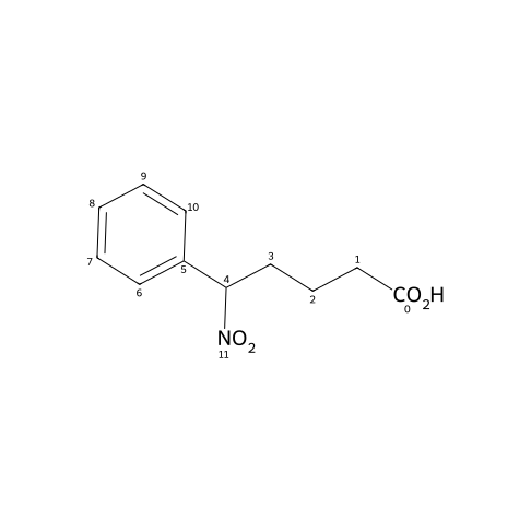 O=C(O)CCCC(c1ccccc1)[N+](=O)[O-]